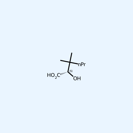 CCCC(C)(C)[C@H](O)C(=O)O